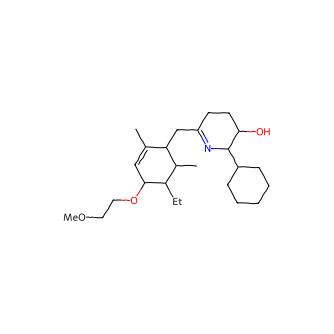 CCC1C(OCCOC)C=C(C)C(CC2=NC(C3CCCCC3)C(O)CC2)C1C